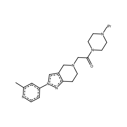 Cc1cc(-n2cc3c(n2)CCN(CC(=O)N2CCN(C(C)C)CC2)C3)ccn1